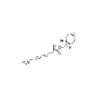 NCCOCCOCCNC(=O)OC[C@H]1[C@@H]2CC/C=C\CC[C@@H]21